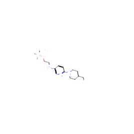 CCOC(=O)CC1CCN(c2ccc(NCCO[Si](C)(C)C(C)(C)C)cn2)CC1